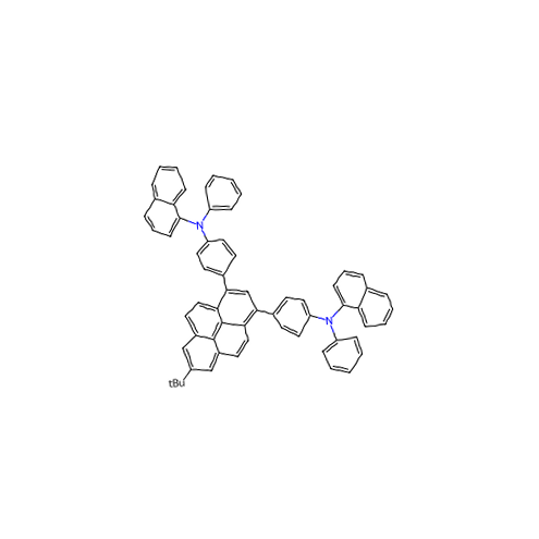 CC(C)(C)c1cc2ccc3c(-c4ccc(N(c5ccccc5)c5cccc6ccccc56)cc4)cc(-c4ccc(N(c5ccccc5)c5cccc6ccccc56)cc4)c4ccc(c1)c2c34